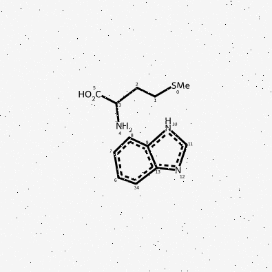 CSCCC(N)C(=O)O.c1ccc2[nH]cnc2c1